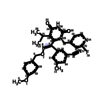 COc1ccc(CO/N=C(\c2cc(C)cc(C#N)c2)c2c(C(C)C)c(=O)[nH]c(=O)n2Cc2ccnc(F)c2)cc1